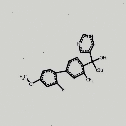 CC(C)(C)C(O)(c1cncnc1)c1ccc(-c2ccc(OC(F)(F)F)cc2F)cc1C(F)(F)F